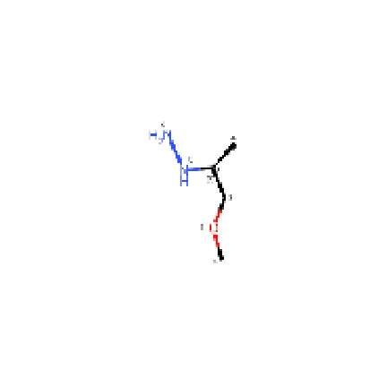 COC[C@H](C)NN